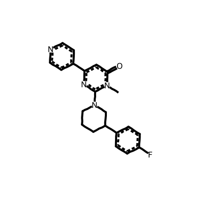 Cn1c(N2CCCC(c3ccc(F)cc3)C2)nc(-c2ccncc2)cc1=O